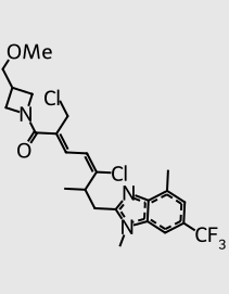 COCC1CN(C(=O)/C(=C/C=C(/Cl)C(C)Cc2nc3c(C)cc(C(F)(F)F)cc3n2C)CCl)C1